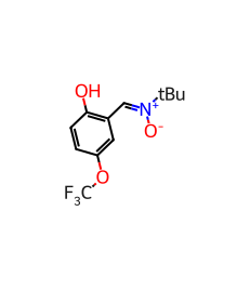 CC(C)(C)[N+]([O-])=Cc1cc(OC(F)(F)F)ccc1O